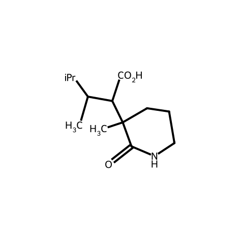 CC(C)C(C)C(C(=O)O)C1(C)CCCNC1=O